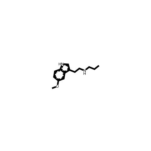 CCCNCCc1c[nH]c2ccc(OC)cc12